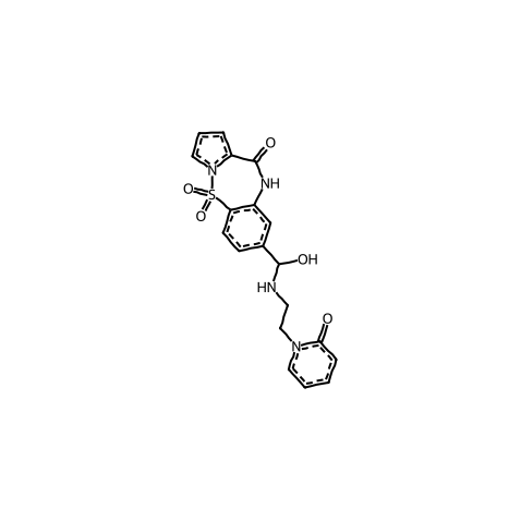 O=C1Nc2cc(C(O)NCCn3ccccc3=O)ccc2S(=O)(=O)n2cccc21